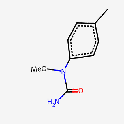 CON(C(N)=O)c1ccc(C)cc1